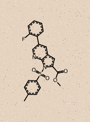 COC(=O)c1cc2cc(-c3ccccc3F)cnc2n1S(=O)(=O)c1ccc(C)cc1